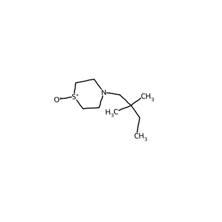 CCC(C)(C)CN1CC[S+]([O-])CC1